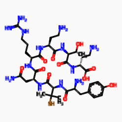 C[C@@H](O)[C@H](NC(=O)[C@H](CCN)NC(=O)[C@H](CCCNC(=N)N)NC(=O)[C@H](CC(N)=O)NC(=O)[C@@H](NC(=O)[C@@H](N)Cc1ccc(O)cc1)C(C)(C)S)C(=O)N[C@H](CCN)C(=O)O